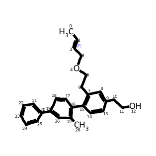 C/C=C/COCCc1cc(CCO)ccc1-c1ccc(-c2ccccc2)cc1C